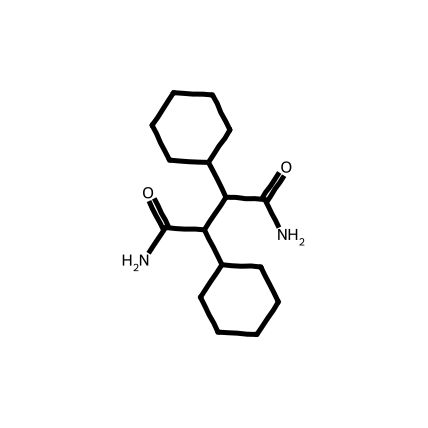 NC(=O)C(C1CCCCC1)C(C(N)=O)C1CCCCC1